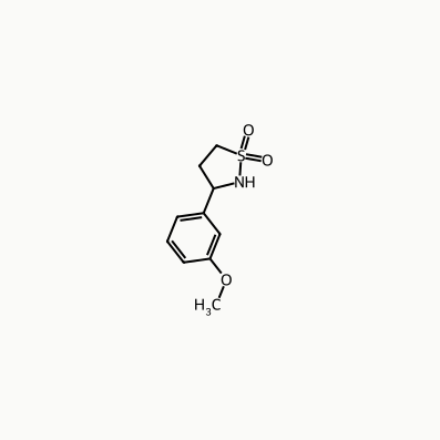 COc1cccc(C2CCS(=O)(=O)N2)c1